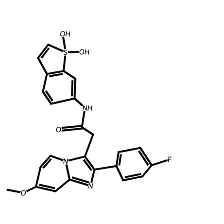 COc1ccn2c(CC(=O)Nc3ccc4c(c3)S(O)(O)C=C4)c(-c3ccc(F)cc3)nc2c1